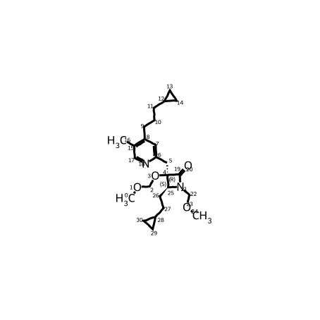 COCO[C@@]1(Cc2cc(CCCC3CC3)c(C)cn2)C(=O)N(COC)[C@H]1CCC1CC1